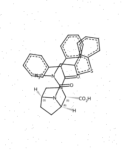 CN(Cc1csc2ccccc12)C(=O)N1[C@H]2CC[C@@H]1[C@@H](C(=O)O)N(C(=O)C(c1ccccc1)c1ccccc1)C2